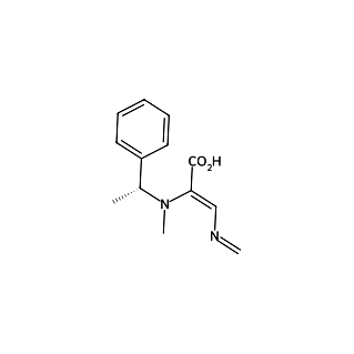 C=N/C=C(/C(=O)O)N(C)[C@H](C)c1ccccc1